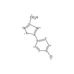 O=C(O)c1nsc(-c2ccc(Cl)cc2)n1